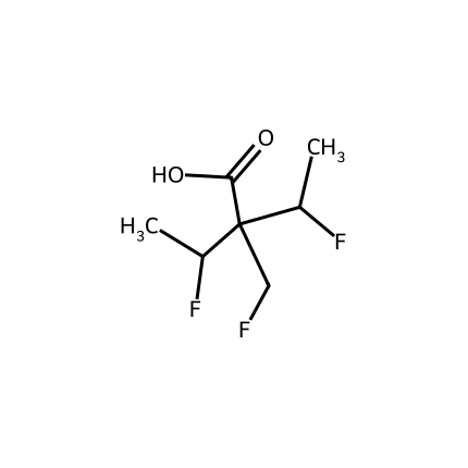 CC(F)C(CF)(C(=O)O)C(C)F